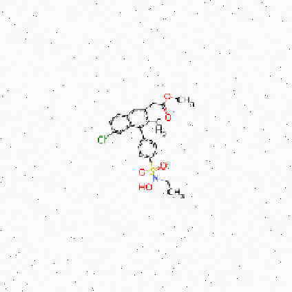 CCN(O)S(=O)(=O)c1ccc(-c2c(C)c(CC(=O)OC)cc3ccc(Cl)cc23)cc1